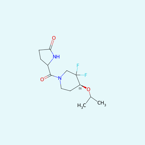 CC(C)O[C@H]1CCN(C(=O)C2CCC(=O)N2)CC1(F)F